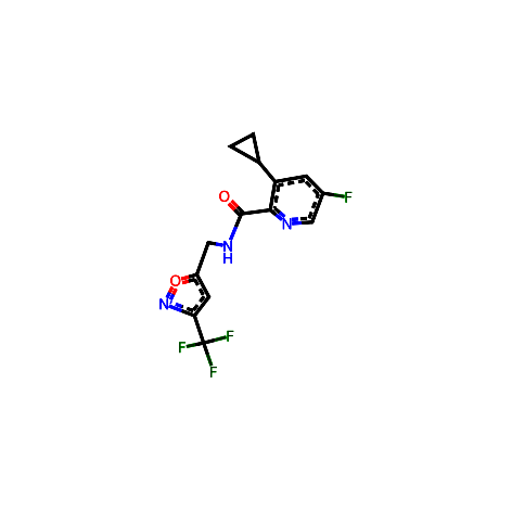 O=C(NCc1cc(C(F)(F)F)no1)c1ncc(F)cc1C1CC1